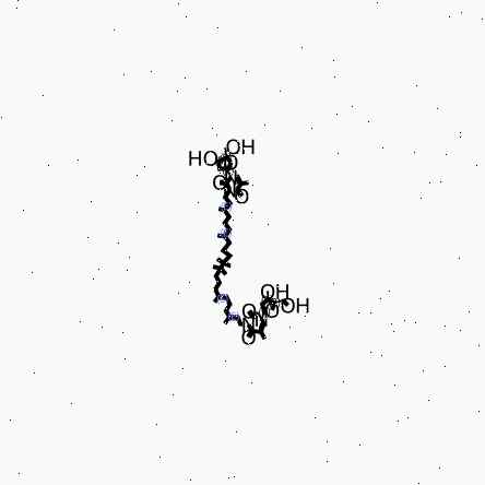 C/C(=C\Cn1c(=O)c(C)cn([C@H]2C[C@@H](O)[C@@H](CO)O2)c1=O)CC/C=C(\C)CCCC(C)(C)C(C)(C)CCC/C(C)=C/CC/C(C)=C/Cn1c(=O)c(C)cn([C@H]2C[C@@H](O)[C@@H](CO)O2)c1=O